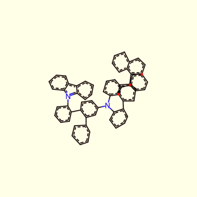 c1ccc(-c2cccc(N(c3ccc(-c4ccccc4-n4c5ccccc5c5ccccc54)c(-c4ccccc4)c3)c3ccccc3-c3ccc(-c4cccc5ccccc45)cc3)c2)cc1